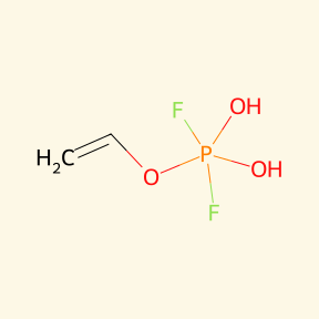 C=COP(O)(O)(F)F